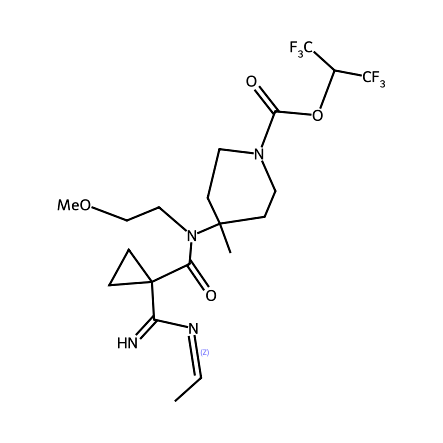 C/C=N\C(=N)C1(C(=O)N(CCOC)C2(C)CCN(C(=O)OC(C(F)(F)F)C(F)(F)F)CC2)CC1